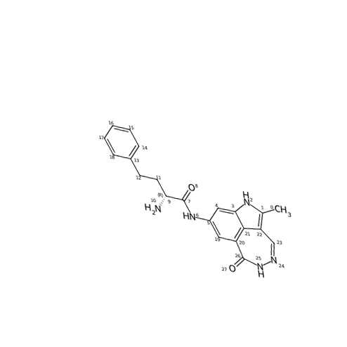 Cc1[nH]c2cc(NC(=O)[C@H](N)CCc3ccccc3)cc3c2c1C=NNC3=O